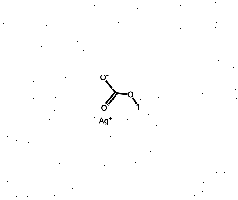 O=C([O-])OI.[Ag+]